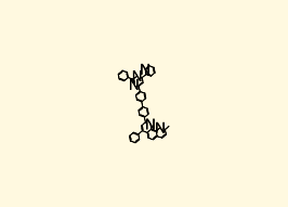 Cc1ccc2ccc3c(-c4ccccc4)cc(-c4ccc(-c5ccc(-c6cc(-c7ccccn7)nc(-c7ccccc7)n6)cc5)cc4)nc3c2n1